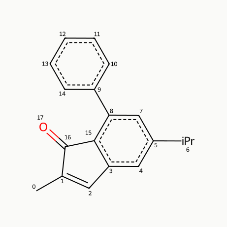 CC1=Cc2cc(C(C)C)cc(-c3ccccc3)c2C1=O